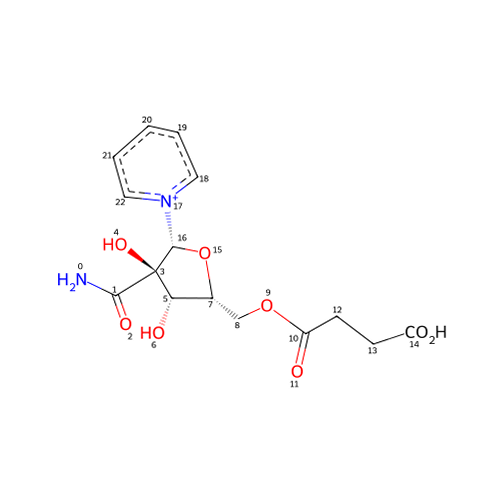 NC(=O)[C@@]1(O)[C@@H](O)[C@@H](COC(=O)CCC(=O)O)O[C@H]1[n+]1ccccc1